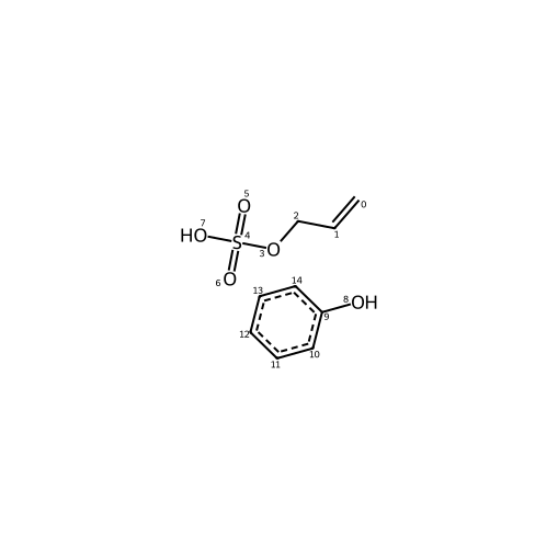 C=CCOS(=O)(=O)O.Oc1ccccc1